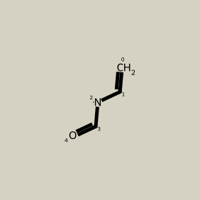 C=C[N]C=O